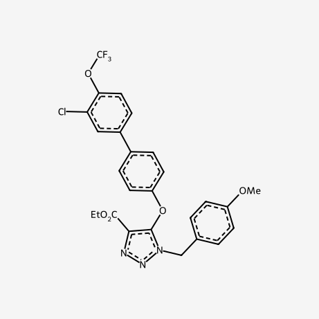 CCOC(=O)c1nnn(Cc2ccc(OC)cc2)c1Oc1ccc(-c2ccc(OC(F)(F)F)c(Cl)c2)cc1